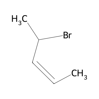 C/C=C\C(C)Br